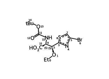 CCO[C@H](c1nc(Br)cs1)[C@H](NC(=O)OC(C)(C)C)C(=O)O